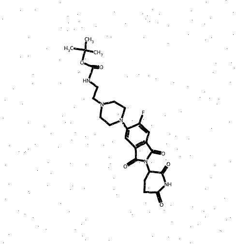 CC(C)(C)OC(=O)NCCN1CCN(c2cc3c(cc2F)C(=O)N(C2CCC(=O)NC2=O)C3=O)CC1